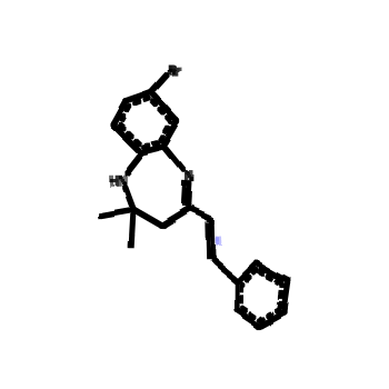 CC1(C)CC(/C=C/c2ccccc2)=Nc2cc(Br)ccc2N1